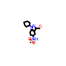 CS(=O)(=O)NC1CCc2c(c(C=O)nn2C2CCCCC2)C1